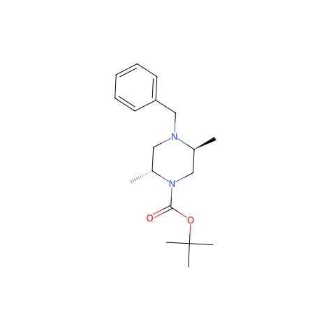 C[C@@H]1CN(Cc2ccccc2)[C@@H](C)CN1C(=O)OC(C)(C)C